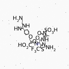 C[C@H]1[C@H](NC(=O)/C(=N\O[C@@H](COc2ccc(C(=N)NCCN)cc2)C(=O)O)c2nc(N)sc2C(F)(F)F)C(=O)N1S(=O)(=O)O